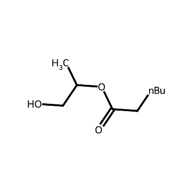 CCCCCC(=O)OC(C)CO